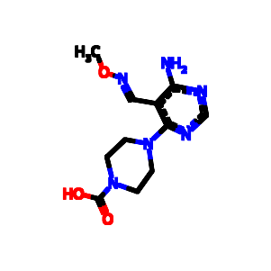 CON=Cc1c(N)ncnc1N1CCN(C(=O)O)CC1